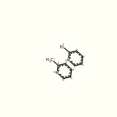 CCc1ccccn1.Cc1ccccn1